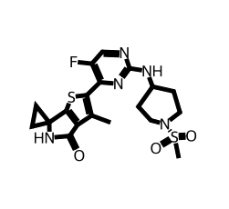 Cc1c(-c2nc(NC3CCN(S(C)(=O)=O)CC3)ncc2F)sc2c1C(=O)NC21CC1